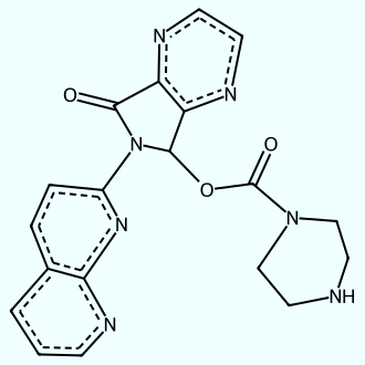 O=C(OC1c2nccnc2C(=O)N1c1ccc2cccnc2n1)N1CCNCC1